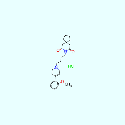 COc1ccccc1C1=CCN(CCCCN2C(=O)CC3(CCCC3)CC2=O)CC1.Cl